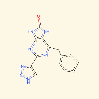 O=c1[nH]c2nc(-c3c[nH]nn3)nc(Cc3ccccc3)c2[nH]1